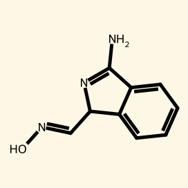 NC1=NC(C=NO)c2ccccc21